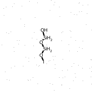 O[SiH2]O[SiH2]OI